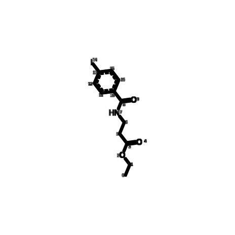 CCOC(=O)CCNC(=O)c1ccc(I)cc1